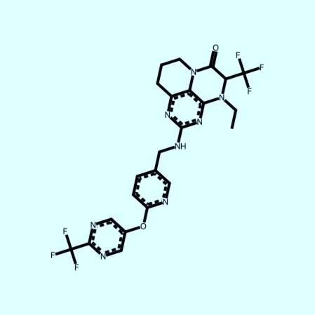 CCN1c2nc(NCc3ccc(Oc4cnc(C(F)(F)F)nc4)nc3)nc3c2N(CCC3)C(=O)C1C(F)(F)F